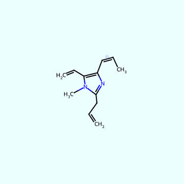 C=CCc1nc(/C=C\C)c(C=C)n1C